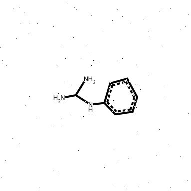 NC(N)Nc1ccccc1